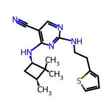 C[C@H]1C[C@@H](Nc2nc(NCCc3cccs3)ncc2C#N)C1(C)C